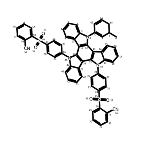 CC1C=C(n2c3ccccc3c3c2c2c4ccccc4n(-c4ccc(S(=O)(=O)c5ccccc5C#N)cc4)c2c2c4ccccc4n(-c4ccc(S(=O)(=O)c5ccccc5C#N)cc4)c32)C=CC1